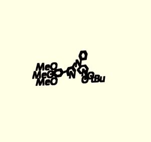 COc1cc(-c2cncc(CN(c3ccccc3)C3CCN(C(=O)OC(C)(C)C)CC3)c2)cc(OC)c1OC